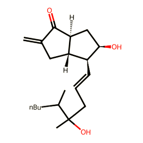 C=C1C[C@H]2[C@H](C=CCC(C)(O)C(C)CCCC)[C@H](O)C[C@@H]2C1=O